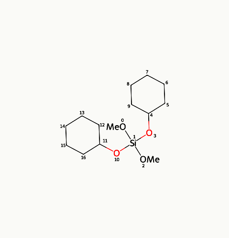 CO[Si](OC)(OC1CCCCC1)OC1CCCCC1